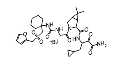 CC1(C)C2CN(C(=O)[C@@H](NC(=O)NC3(CS(=O)(=O)Cc4ccco4)CCCCC3)C(C)(C)C)[C@H](C(=O)NC(CC3CC3)C(=O)C(N)=O)C21